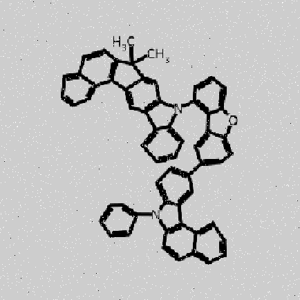 CC1(C)c2cc3c(cc2-c2c1ccc1ccccc21)c1ccccc1n3-c1cccc2oc3ccc(-c4ccc5c(c4)c4c6ccccc6ccc4n5-c4ccccc4)cc3c12